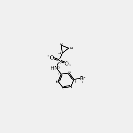 O=S(=O)(Nc1cccc(Br)c1)C1CC1